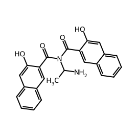 CC(N)N(C(=O)c1cc2ccccc2cc1O)C(=O)c1cc2ccccc2cc1O